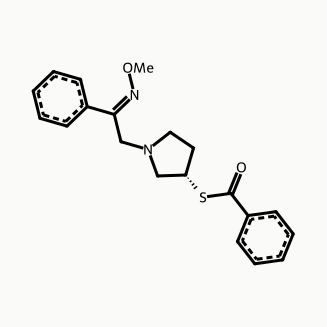 CON=C(CN1CC[C@H](SC(=O)c2ccccc2)C1)c1ccccc1